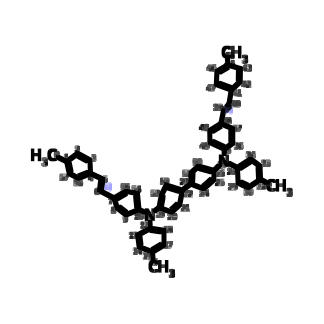 Cc1ccc(/C=C/c2ccc(N(c3ccc(C)cc3)c3ccc(-c4ccc(N(c5ccc(C)cc5)c5ccc(/C=C/c6ccc(C)cc6)cc5)cc4)cc3)cc2)cc1